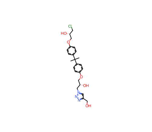 CC(C)(c1ccc(OC[C@H](O)CCl)cc1)c1ccc(OC[C@H](O)Cn2cc(CO)nn2)cc1